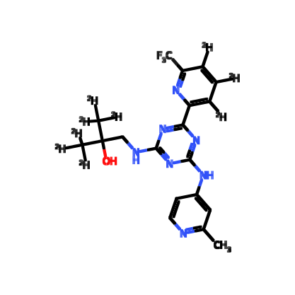 [2H]c1c(-c2nc(NCC(O)(C([2H])([2H])[2H])C([2H])([2H])[2H])nc(Nc3ccnc(C)c3)n2)nc(C(F)(F)F)c([2H])c1[2H]